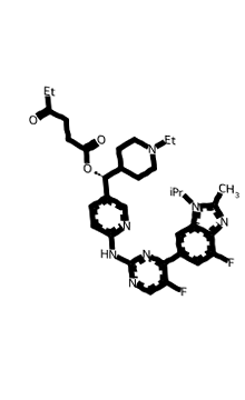 CCC(=O)CCC(=O)O[C@@H](c1ccc(Nc2ncc(F)c(-c3cc(F)c4nc(C)n(C(C)C)c4c3)n2)nc1)C1CCN(CC)CC1